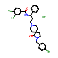 Cl.O=C(NC(CCN1CCC2(CC1)CCN(Cc1ccc(Br)cc1)C2=O)c1ccccc1)c1ccc(Cl)c(Cl)c1